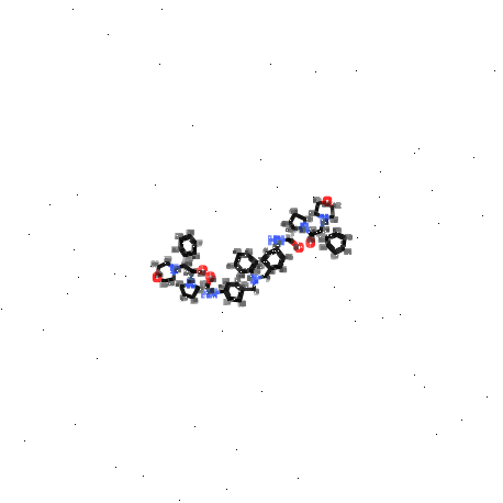 O=C(Nc1ccc(CN(Cc2ccc(NC(=O)[C@@H]3CCCN3C(=O)[C@@H](c3ccccc3)N3CCOCC3)cc2)c2ccccc2)cc1)[C@@H]1CCCN1C(=O)[C@@H](c1ccccc1)N1CCOCC1